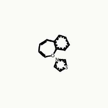 C1=COc2ccccc2C=C1.c1cscn1